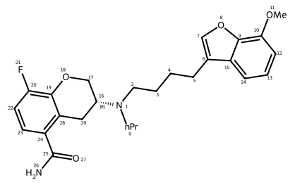 CCCN(CCCCc1coc2c(OC)cccc12)[C@H]1COc2c(F)ccc(C(N)=O)c2C1